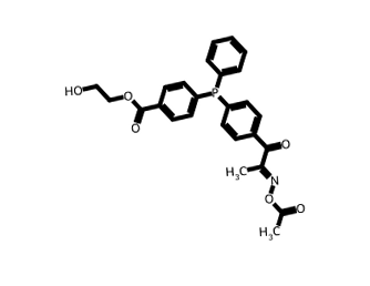 CC(=O)O/N=C(\C)C(=O)c1ccc(P(c2ccccc2)c2ccc(C(=O)OCCO)cc2)cc1